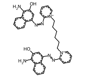 Nc1c(O)cc(N=Nc2cccc[n+]2CCCCCC[n+]2ccccc2N=Nc2cc(O)c(N)c3ccccc23)c2ccccc12